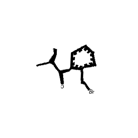 C=C(C)C(=O)c1ccccc1CBr